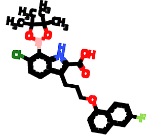 CC1(C)OB(c2c(Cl)ccc3c(CCCOc4cccc5cc(F)ccc45)c(C(=O)O)[nH]c23)OC1(C)C